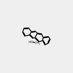 CO.c1ccc2cc3cc4ccccc4cc3cc2c1